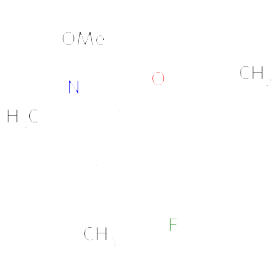 C=C/C=C(F)\C(=C/C)C(=O)N(C)OC